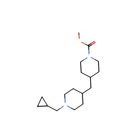 CC(C)(C)OC(=O)N1CCC(CC2CCN(CC3CC3)CC2)CC1